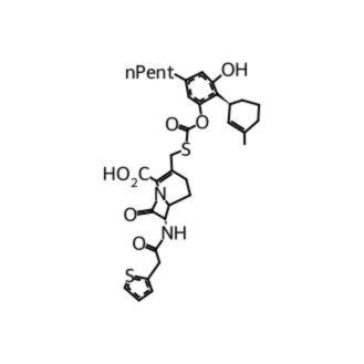 CCCCCc1cc(O)c([C@@H]2C=C(C)CCC2)c(OC(=O)SCC2=C(C(=O)O)N3C(=O)[C@@H](NC(=O)Cc4cccs4)C3CC2)c1